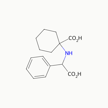 O=C(O)C(NC1(C(=O)O)CCCCC1)c1ccccc1